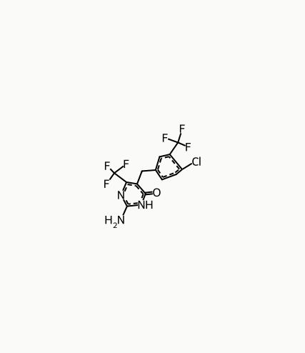 Nc1nc(C(F)(F)F)c(Cc2ccc(Cl)c(C(F)(F)F)c2)c(=O)[nH]1